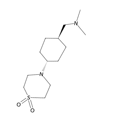 CN(C)C[C@H]1CC[C@H](N2CCS(=O)(=O)CC2)CC1